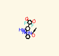 CC#CC(=O)Nc1ccccc1-c1n[nH]c2c1CCC(c1c(F)c(OC)cc(OC)c1F)C2